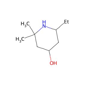 CCC1CC(O)CC(C)(C)N1